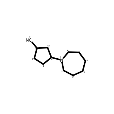 N#CC1CCC(N2CCCCCC2)C1